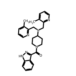 Cc1cccnc1CN(Cc1ncccc1C)C1CCN(C(=O)c2n[nH]c3ccccc23)CC1